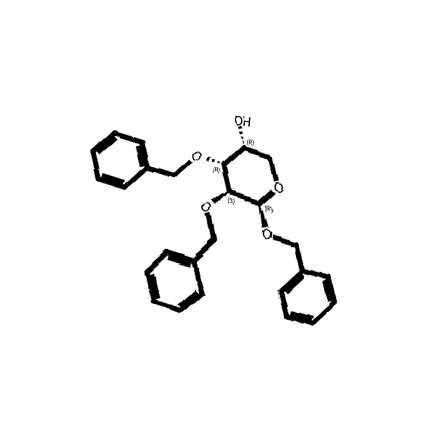 O[C@@H]1CO[C@@H](OCc2ccccc2)[C@@H](OCc2ccccc2)[C@@H]1OCc1ccccc1